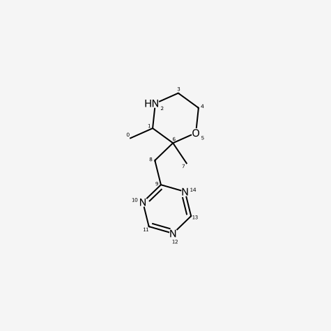 CC1NCCOC1(C)Cc1ncncn1